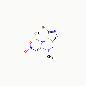 CCNC(=C[N+](=O)[O-])N(C)Cc1cnc(Br)s1